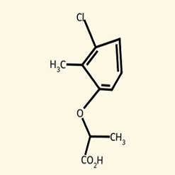 Cc1c(Cl)cccc1OC(C)C(=O)O